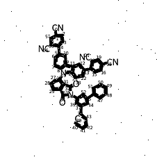 N#Cc1ccc(-c2ccc3c(c2)c2cc(-c4ccc(C#N)cc4C#N)ccc2n3-c2cccc3c2C(=O)N(c2cc(-c4ccccc4)cc(-c4ccccc4)c2)C3=O)c(C#N)c1